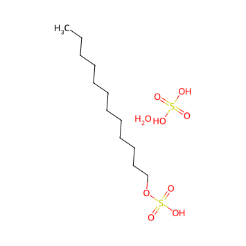 CCCCCCCCCCCCOS(=O)(=O)O.O.O=S(=O)(O)O